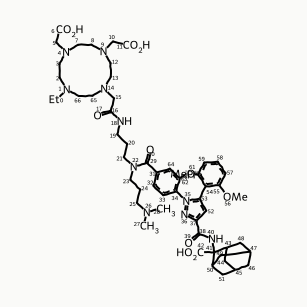 CCN1CCN(CC(=O)O)CCN(CC(=O)O)CCN(CC(=O)NCCCN(CCCN(C)C)C(=O)c2ccc(-n3nc(C(=O)NC4(C(=O)O)C5CC6CC(C5)CC4C6)cc3-c3c(OC)cccc3OC)c(C(C)C)c2)CC1